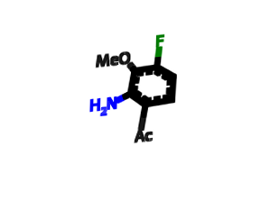 COc1c(F)ccc(C(C)=O)c1N